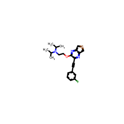 CC(C)N(CCOc1nc2cscc2nc1C#Cc1cccc(F)c1)C(C)C